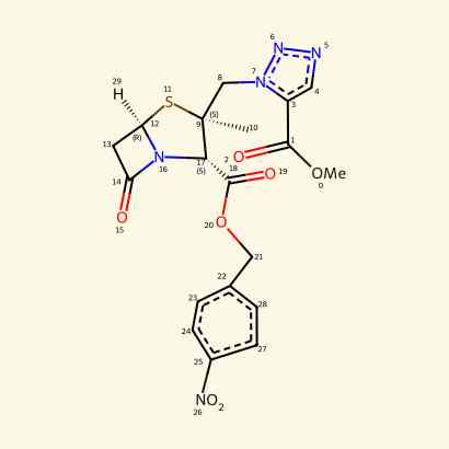 COC(=O)c1cnnn1C[C@]1(C)S[C@@H]2CC(=O)N2[C@H]1C(=O)OCc1ccc([N+](=O)[O-])cc1